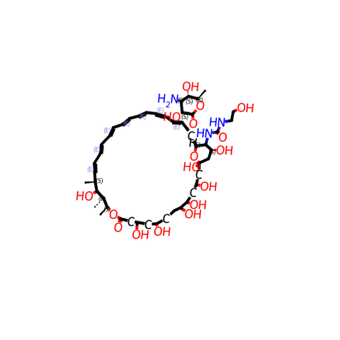 C[C@@H]1OC(=O)CC(O)CC(O)CCC(O)C(O)CC(O)CC2(O)C[C@H](O)C(NC(=O)NCCO)[C@H](CC(OC3O[C@H](C)[C@@H](O)[C@H](N)[C@@H]3O)/C=C/C=C/C=C/C=C/C=C/C=C/C=C/[C@H](C)C(O)[C@H]1C)O2